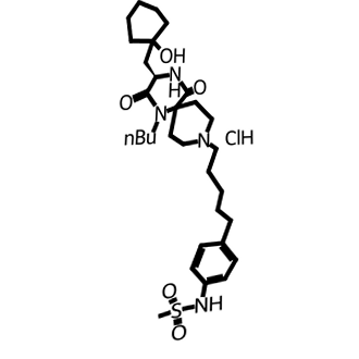 CCCCN1C(=O)[C@@H](CC2(O)CCCCC2)NC(=O)C12CCN(CCCCCc1ccc(NS(C)(=O)=O)cc1)CC2.Cl